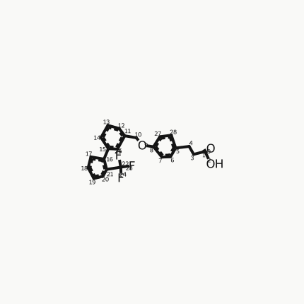 O=C(O)CCc1ccc(OCc2cccc(-c3ccccc3C(F)(F)F)c2)cc1